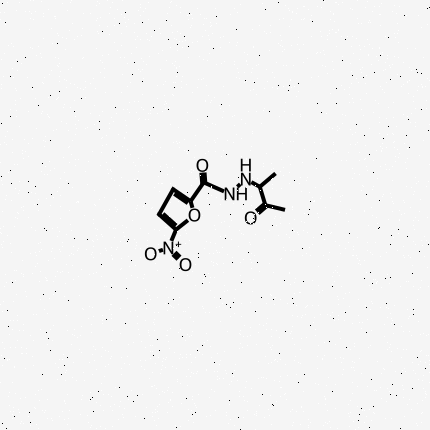 CC(=O)C(C)NNC(=O)c1ccc([N+](=O)[O-])o1